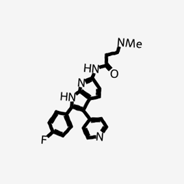 CNCCC(=O)Nc1ccc2c(-c3ccncc3)c(-c3ccc(F)cc3)[nH]c2n1